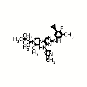 Cc1cc(Nc2ncc(N3CCN(C(=O)OC(C)(C)C)[C@H](C)C3)c(Nc3cnn(C)n3)n2)cc(C2CC2)c1F